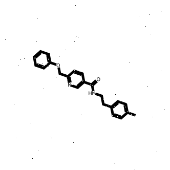 Cc1ccc(CCNC(=O)c2ccc(COc3ccccc3)nc2)cc1